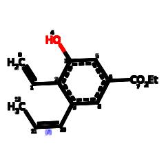 C=Cc1c(O)cc(C(=O)OCC)cc1/C=C\C